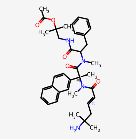 CC(=O)OC(C)(C)CNC(=O)C(Cc1ccccc1)N(C)C(=O)[C@@](C)(c1ccc2ccccc2c1)N(C)C(=O)/C=C/CC(C)(C)N